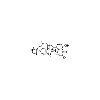 COc1ccc(C2(CCC(C)CNCC(O)c3ccc(O)c4c3OCC(=O)N4)N=CN=N2)cc1